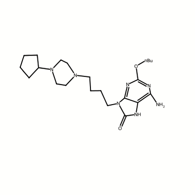 CCCCOc1nc(N)c2[nH]c(=O)n(CCCCN3CCN(C4CCCC4)CC3)c2n1